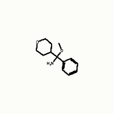 COC(N)(c1ccccc1)C1CCOCC1